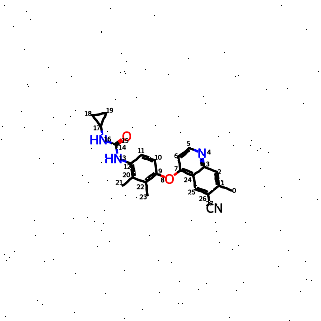 Cc1cc2nccc(Oc3ccc(NC(=O)NC4CC4)c(C)c3C)c2cc1C#N